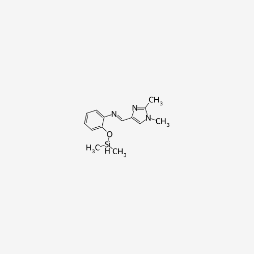 Cc1nc(C=Nc2ccccc2O[SiH](C)C)cn1C